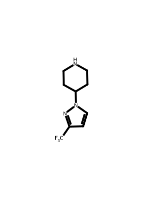 FC(F)(F)c1ccn(C2CCNCC2)n1